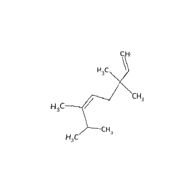 [CH]=CC(C)(C)CC=C(C)C(C)C